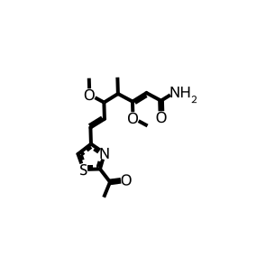 COC(=CC(N)=O)C(C)C(C=Cc1csc(C(C)=O)n1)OC